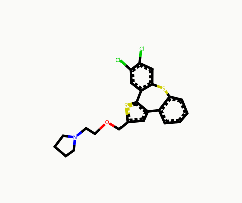 Clc1cc2c(cc1Cl)-c1sc(COCCN3CCCC3)cc1-c1ccccc1S2